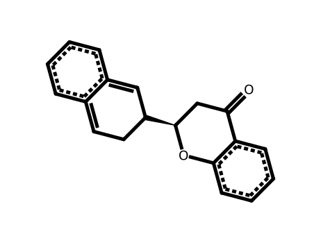 O=C1C[C@H](C2C=c3ccccc3=CC2)Oc2ccccc21